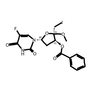 CO[C@]1(CI)O[C@@H](n2cc(F)c(=O)[nH]c2=O)C[C@@H]1OC(=O)c1ccccc1